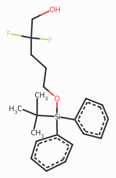 CC(C)(C)[Si](OCCCC(F)(F)CO)(c1ccccc1)c1ccccc1